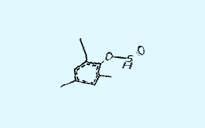 Cc1cc(C)c(O[SH]=O)c(C)c1